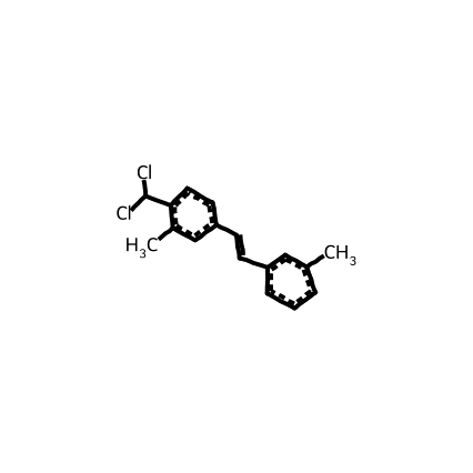 Cc1cccc(C=Cc2ccc(C(Cl)Cl)c(C)c2)c1